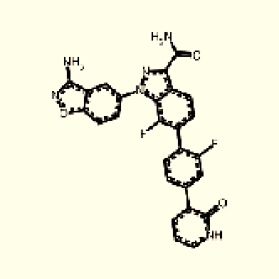 NC(=O)c1nn(-c2ccc3onc(N)c3c2)c2c(F)c(-c3ccc(-c4ccc[nH]c4=O)cc3F)ccc12